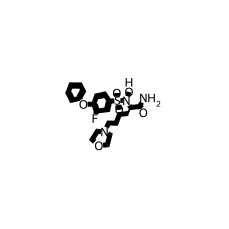 NC(=O)[C@@H](CCCCN1CCOCC1)N(O)S(=O)(=O)c1ccc(Oc2ccccc2)c(F)c1